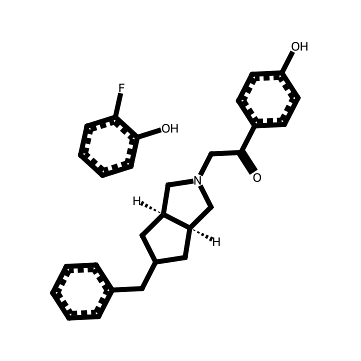 O=C(CN1C[C@H]2CC(Cc3ccccc3)C[C@H]2C1)c1ccc(O)cc1.Oc1ccccc1F